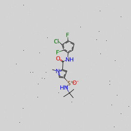 Cn1cc([S+]([O-])NC(C)(C)C)cc1C(=O)Nc1ccc(F)c(Cl)c1F